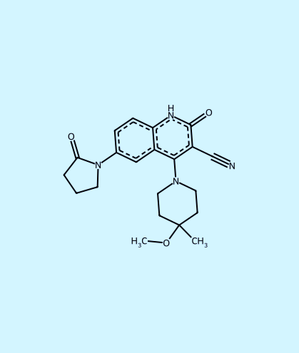 COC1(C)CCN(c2c(C#N)c(=O)[nH]c3ccc(N4CCCC4=O)cc23)CC1